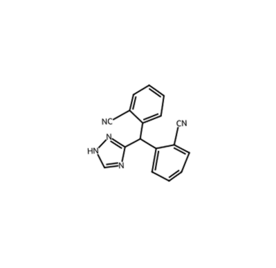 N#Cc1ccccc1C(c1nc[nH]n1)c1ccccc1C#N